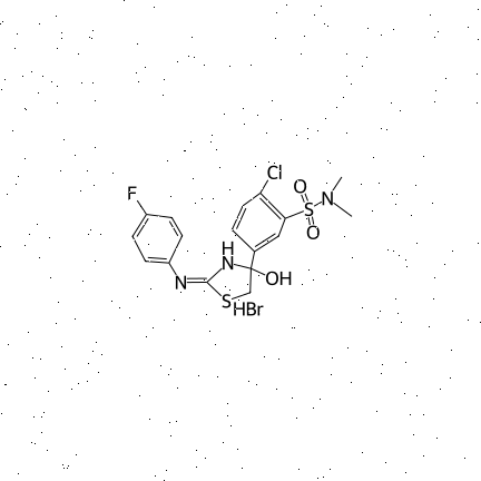 Br.CN(C)S(=O)(=O)c1cc(C2(O)CSC(=Nc3ccc(F)cc3)N2)ccc1Cl